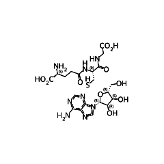 N[C@@H](CCC(=O)N[C@@H](CS)C(=O)NCC(=O)O)C(=O)O.Nc1ncnc2c1ncn2[C@@H]1O[C@H](CO)[C@@H](O)[C@H]1O